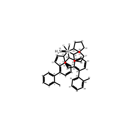 Cc1ccccc1-c1cccc2c1C=C[CH]2[Hf]([CH3])([CH3])(=[SiH2])([CH]1CCCC1)([CH]1CCCC1)[CH]1C=Cc2c(-c3ccccc3C)cccc21